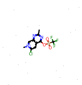 Cc1nc(OS(=O)(=O)C(F)(F)F)c2cc(Cl)[n+](C)cc2n1